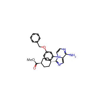 COC(=O)[C@H]1CC[C@H](C2=NC=C3C(N)=NC=C[N+]32c2cccc(OCc3ccccc3)c2)CC1